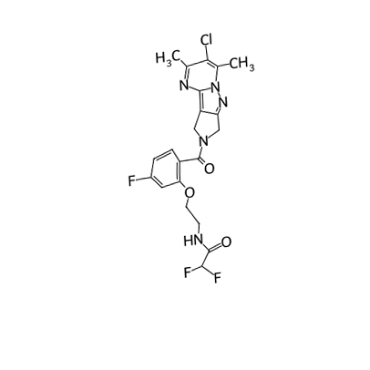 Cc1nc2c3c(nn2c(C)c1Cl)CN(C(=O)c1ccc(F)cc1OCCNC(=O)C(F)F)C3